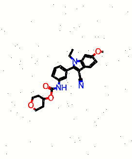 CCn1c(-c2cccc(NC(=O)OC3CCOCC3)c2)c(C#N)c2ccc(OC)cc21